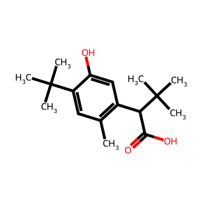 Cc1cc(C(C)(C)C)c(O)cc1C(C(=O)O)C(C)(C)C